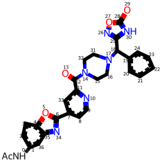 CC(=O)Nc1ccc2oc(-c3ccnc(C(=O)N4CCN(C(c5ccccc5)c5noc(=O)[nH]5)CC4)c3)nc2c1